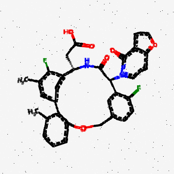 Cc1cc2cc(c1F)[C@H](CC(=O)O)NC(=O)[C@@H](n1ccc3occc3c1=O)c1cc(ccc1F)COc1cccc(C)c1-2